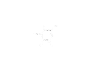 CCC1=C(N)C(=S)C(C(F)(F)F)C(C#N)=C1